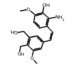 COc1ccc(/C=C\c2cc(CO)c(CO)c(OC)c2)c(N)c1O